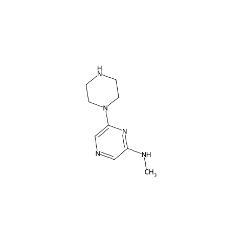 CNc1cncc(N2CCNCC2)n1